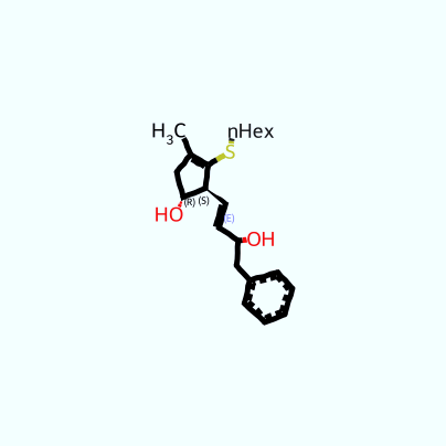 CCCCCCSC1=C(C)C[C@@H](O)[C@@H]1/C=C/C(O)Cc1ccccc1